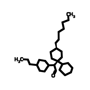 CCCCCCC[C@H]1CC[C@@](C2CCCCC2)(C(C=O)C2CCC(CCC)CC2)CC1